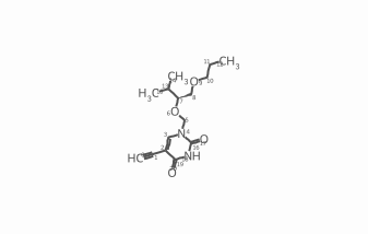 C#Cc1cn(CO[C@H](COCCC)C(C)C)c(=O)[nH]c1=O